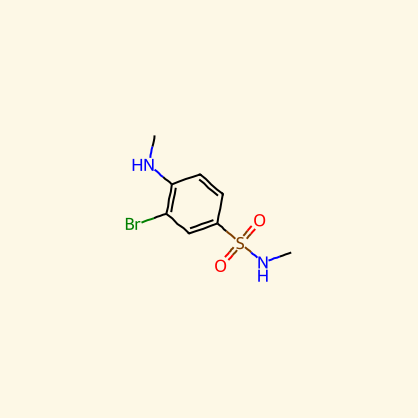 CNc1ccc(S(=O)(=O)NC)cc1Br